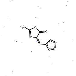 CC1=N/C(=C/c2ccsc2)C(=O)O1